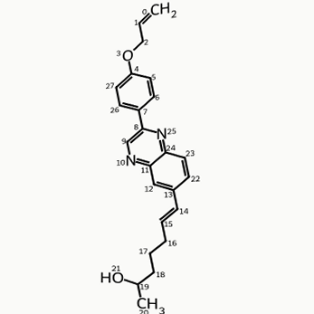 C=CCOc1ccc(-c2cnc3cc(C=CCCCC(C)O)ccc3n2)cc1